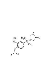 CC(C)Oc1cc(C(C)(C)[C@@H]2CNC(=O)C2)ccc1OC(F)F